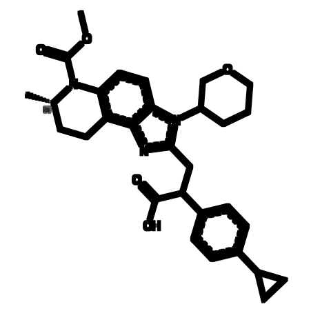 COC(=O)N1c2ccc3c(nc(CC(C(=O)O)c4ccc(C5CC5)cc4)n3C3CCCOC3)c2CC[C@@H]1C